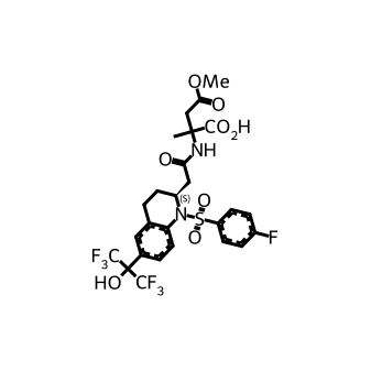 COC(=O)CC(C)(NC(=O)C[C@@H]1CCc2cc(C(O)(C(F)(F)F)C(F)(F)F)ccc2N1S(=O)(=O)c1ccc(F)cc1)C(=O)O